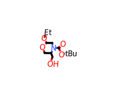 CCOC1CN(C(=O)OC(C)(C)C)C(CO)CO1